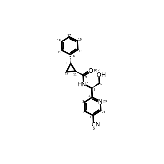 N#Cc1ccc([C@H](CO)NC(=O)[C@H]2C[C@@H]2c2ccccc2)nc1